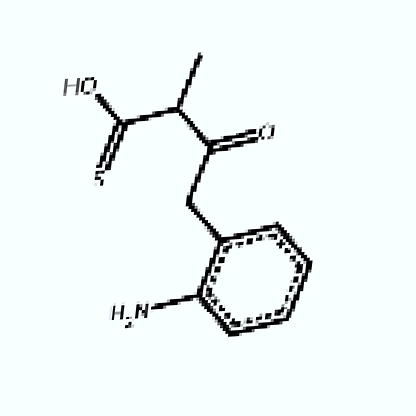 CC(C(=O)Cc1ccccc1N)C(O)=S